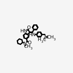 CN(C)Cc1ccc(NC(=C2C(=O)Nc3ccc(C(=O)N(C)C4CCCCC4)cc32)c2ccccc2)cc1